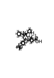 CCCCn1c(-c2ccccc2)nc(-c2ccccc2)c1CC(NCc1ccc(C(=O)O)cc1)c1ccc(OC(F)(F)F)cc1